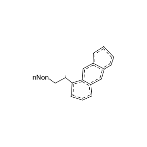 CCCCCCCCCC[CH]c1cccc2cc3ccccc3cc12